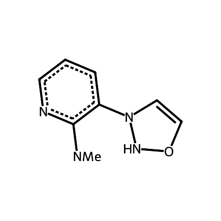 CNc1ncccc1N1C=CON1